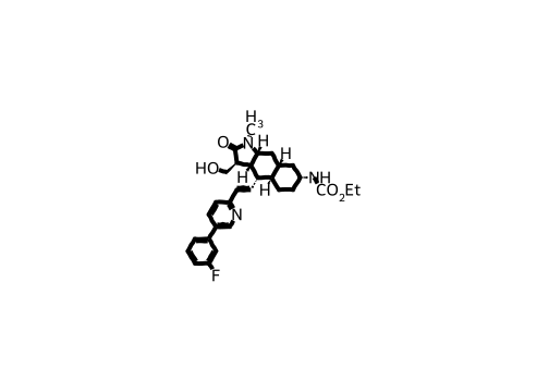 CCOC(=O)N[C@@H]1CC[C@@H]2[C@@H](C1)C[C@@H]1[C@H]([C@H]2/C=C/c2ccc(-c3cccc(F)c3)cn2)[C@@H](CO)C(=O)N1C